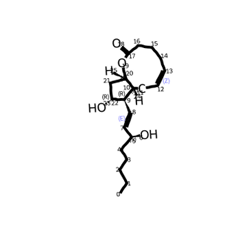 CCCCC[C@H](O)/C=C/[C@@H]1[C@H]2C/C=C\CCCC(=O)O[C@H]2C[C@H]1O